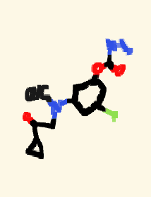 NC(=O)Oc1cc(F)cc(N(C=O)CC(=O)C2CC2)c1